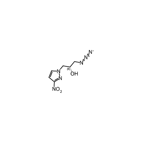 [N-]=[N+]=NC[C@H](O)Cn1ccc([N+](=O)[O-])n1